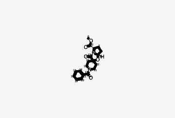 COC(=O)[C@@H]1CC[C@H]2OC3(CCN(C(=O)c4ccccc4)CC3)C(=O)N21